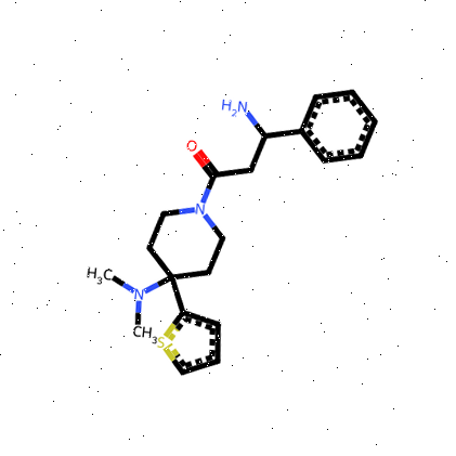 CN(C)C1(c2cccs2)CCN(C(=O)CC(N)c2ccccc2)CC1